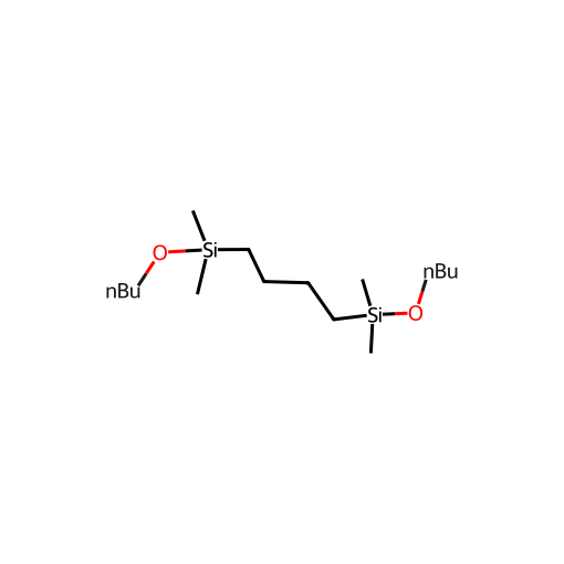 CCCCO[Si](C)(C)CCCC[Si](C)(C)OCCCC